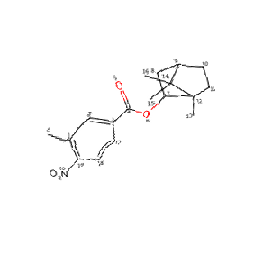 Cc1cc(C(=O)OC2CC3CCC2(C)C3(C)C)ccc1[N+](=O)[O-]